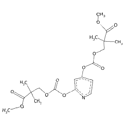 COC(=O)C(C)(C)COC(=O)Oc1ccnc(OC(=O)OCC(C)(C)C(=O)OC)c1